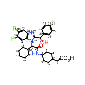 O=C(O)CC1CCC(NC(=O)C(C2CCCCC2)n2c(C(O)c3ccc(F)cc3)nc3cc(F)c(F)cc32)CC1